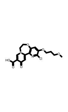 COCCCOc1cc2c(nc1Cl)-c1cc(=O)c(C(=O)O)cn1CCO2